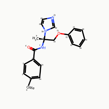 COc1ccc(C(=O)N[C@@](C)(COc2ccccc2)n2ccnc2)cc1